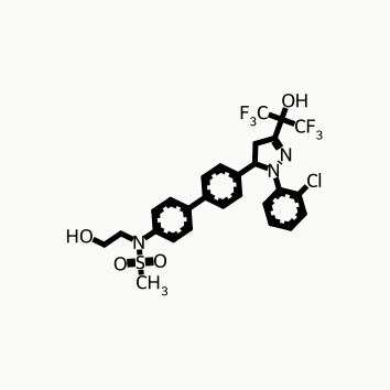 CS(=O)(=O)N(CCO)c1ccc(-c2ccc(C3CC(C(O)(C(F)(F)F)C(F)(F)F)=NN3c3ccccc3Cl)cc2)cc1